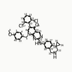 COc1ccc(Cn2cc(-c3c(Cl)cccc3Cl)c(=O)c3cnc(Nc4ccc5c(c4)CNCC54CC4)nc32)cc1